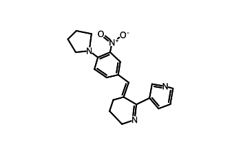 O=[N+]([O-])c1cc(C=C2CCCN=C2c2cccnc2)ccc1N1CCCC1